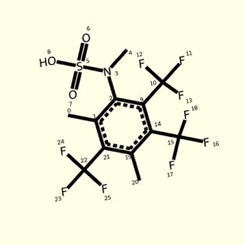 Cc1c(N(C)S(=O)(=O)O)c(C(F)(F)F)c(C(F)(F)F)c(C)c1C(F)(F)F